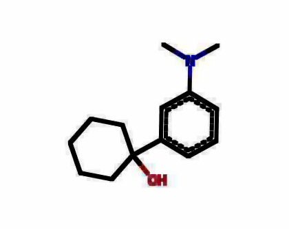 CN(C)c1cccc(C2(O)CCCCC2)c1